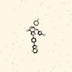 C[C@H]1CC[C@H](C(=O)N(Cc2ccc(Cl)s2)c2nn(-c3ccc(-c4cc5ncccn5n4)cc3)cc2C(=O)O)CC1